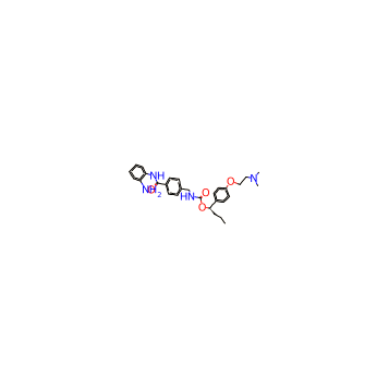 CCC[C@@H](OC(=O)NCc1ccc(C(=O)Nc2ccccc2N)cc1)c1ccc(OCCN(C)C)cc1